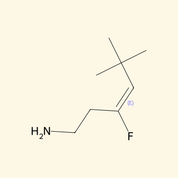 CC(C)(C)/C=C(/F)CCN